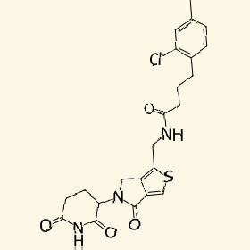 Cc1ccc(CCCC(=O)NCc2scc3c2CN(C2CCC(=O)NC2=O)C3=O)c(Cl)c1